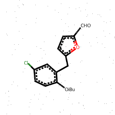 CC(C)COc1ccc(Cl)cc1Cc1ccc(C=O)o1